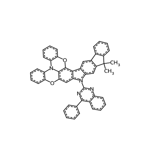 CC1(C)c2ccccc2-c2cc3c4c5c6c(cc4n(-c4nc(-c7ccccc7)c7ccccc7n4)c3cc21)Oc1ccccc1N6c1ccccc1O5